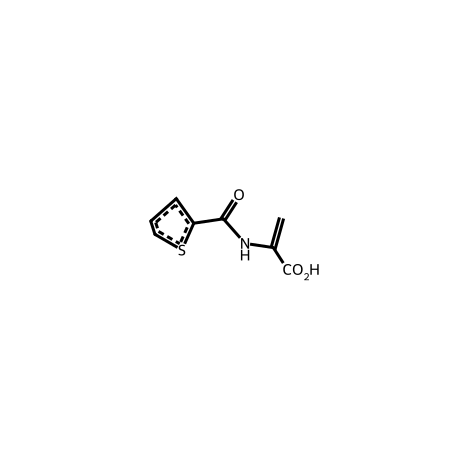 C=C(NC(=O)c1cccs1)C(=O)O